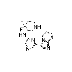 FC1(F)CCNC[C@@H]1Nc1cncc(-c2cnc3ccccn23)n1